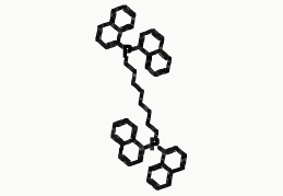 c1ccc2c(P(CCCCCCCCP(c3cccc4ccccc34)c3cccc4ccccc34)c3cccc4ccccc34)cccc2c1